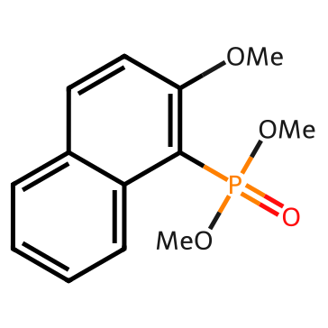 COc1ccc2ccccc2c1P(=O)(OC)OC